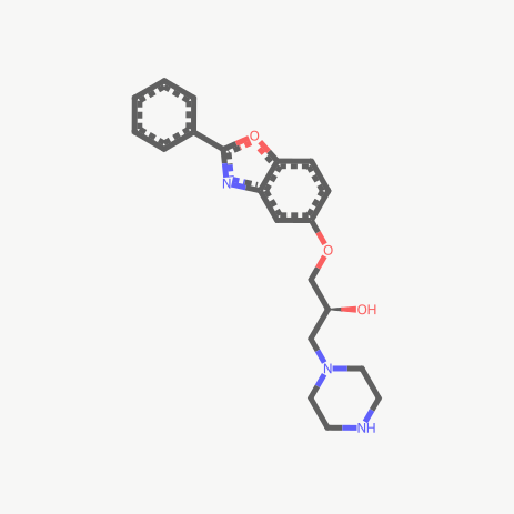 O[C@H](COc1ccc2oc(-c3ccccc3)nc2c1)CN1CCNCC1